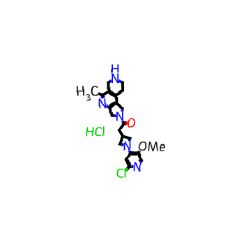 COc1cnc(Cl)cc1N1CC(CC(=O)N2Cc3nc(C)c4c(c3C2)CCNC4)C1.Cl